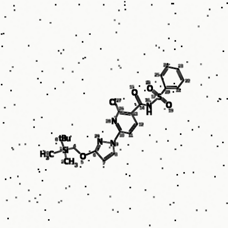 CC(C)(C)[Si](C)(C)COc1ccn(-c2ccc(C(=O)NS(=O)(=O)c3ccccc3)c(Cl)n2)n1